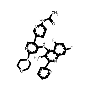 CC(=O)Nc1ccc(-c2cnc(N3CCOCC3)cc2Nc2c(C)c(-c3ccccn3)nc3cc(F)cc(F)c23)cn1